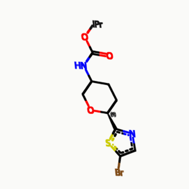 CC(C)OC(=O)NC1CC[C@@H](c2ncc(Br)s2)OC1